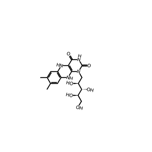 Cc1cc2c(cc1C)Nc1c(c(=O)[nH]c(=O)n1C[C@H](O)[C@H](O)[C@H](O)CO)N2